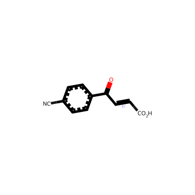 N#Cc1ccc(C(=O)/C=C/C(=O)O)cc1